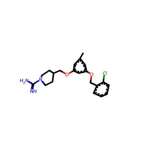 Cc1cc(OCc2ccccc2Cl)cc(OCC2CCN(C(=N)N)CC2)c1